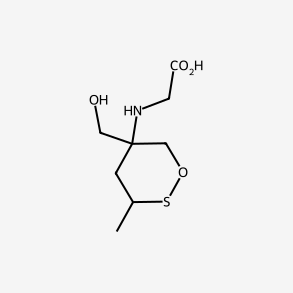 CC1CC(CO)(NCC(=O)O)COS1